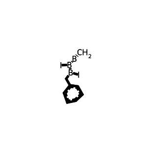 C=BB(I)B(I)Cc1ccccc1